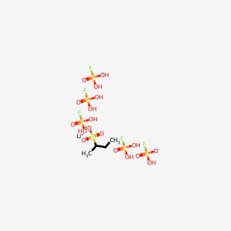 CCC(C)S(=O)(=O)O.O=P(O)(O)F.O=P(O)(O)F.O=P(O)(O)F.O=P(O)(O)F.O=P([O-])(O)F.[Li+]